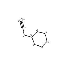 C#CCC1C[CH]CCC1